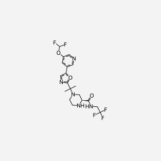 CC(C)(c1ncc(-c2cncc(OC(F)F)c2)o1)N1CCN[C@H](C(=O)NCC(F)(F)F)C1